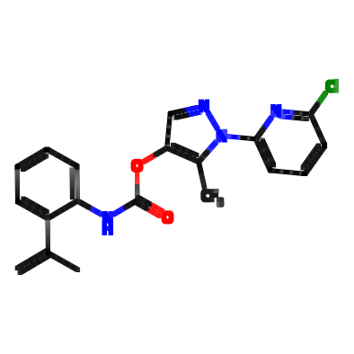 C=C(C)c1ccccc1NC(=O)Oc1cnn(-c2cccc(Cl)n2)c1C(F)(F)F